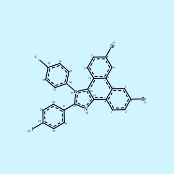 Brc1ccc2c(c1)c1cc(Br)ccc1c1c2nc(-c2ccc(I)cc2)n1-c1ccc(I)cc1